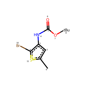 Cc1cc(NC(=O)OC(C)(C)C)c(Br)s1